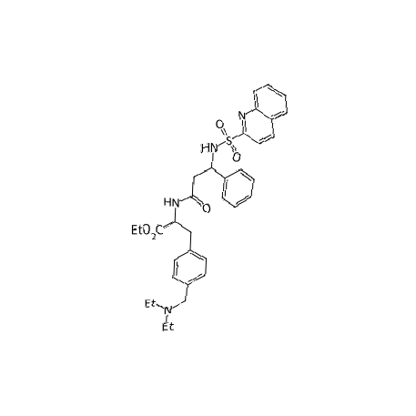 CCOC(=O)C(Cc1ccc(CN(CC)CC)cc1)NC(=O)CC(NS(=O)(=O)c1ccc2ccccc2n1)c1ccccc1